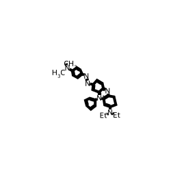 CCN(CC)C1=Cc2c(nc3ccc(/N=N/c4ccc(N(C)C)cc4)cc3[n+]2-c2ccccc2)CC1